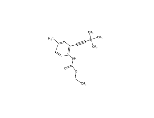 CCOC(=O)Nc1ccc(C)cc1C#C[Si](C)(C)C